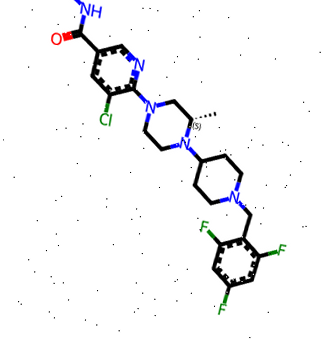 CNC(=O)c1cnc(N2CCN(C3CCN(Cc4c(F)cc(F)cc4F)CC3)[C@@H](C)C2)c(Cl)c1